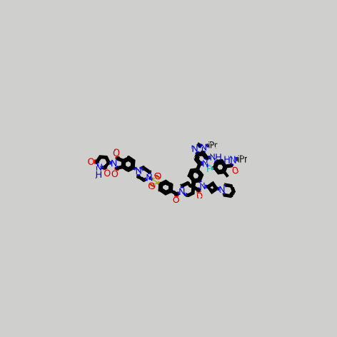 Cc1cc(F)c(Nc2nc(-c3ccc4c(c3)N(C3CC(N5CCCCC5)C3)C(=O)C43CCN(C(=O)c4ccc(S(=O)(=O)N5CCN(c6ccc7c(c6)C(=O)N(C6CCC(=O)NC6=O)C7=O)CC5)cc4)CC3)cc3ncn(C(C)C)c23)cc1C(=O)NC(C)C